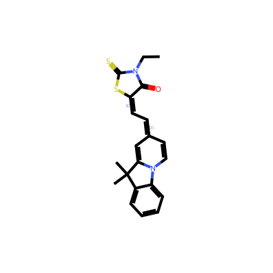 CCN1C(=O)/C(=C\C=C2\C=CN3C(=C2)C(C)(C)c2ccccc23)SC1=S